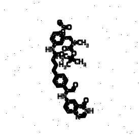 CN(Cc1cc(NC(=O)CCCc2ccc(C(C=O)Nc3ccc4nc[nH]c(=O)c4c3)cc2)ccc1[SH](=O)=O)C(=O)OC(C)(C)C